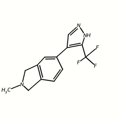 CN1Cc2ccc(-c3cn[nH]c3C(F)(F)F)cc2C1